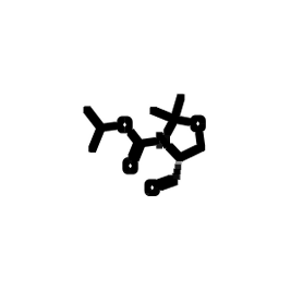 CC(C)OC(=O)N1[C@@H](C=O)COC1(C)C